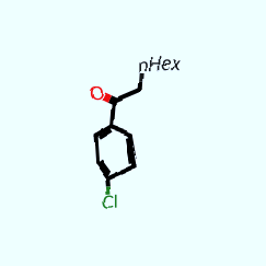 CCCCCCCC(=O)c1ccc(Cl)cc1